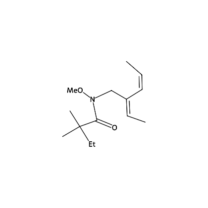 C/C=C\C(=C/C)CN(OC)C(=O)C(C)(C)CC